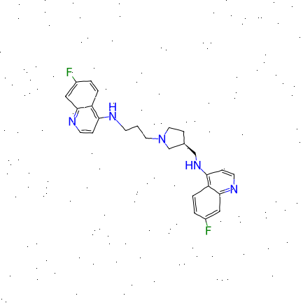 Fc1ccc2c(NCCCN3CC[C@@H](CNc4ccnc5cc(F)ccc45)C3)ccnc2c1